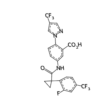 O=C(O)c1cc(NC(=O)C2(c3ccc(C(F)(F)F)cc3F)CC2)ccc1-n1cc(C(F)(F)F)cn1